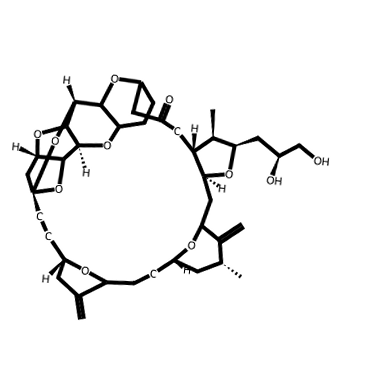 C=C1C[C@@H]2CC[C@@]34C[C@@H]5OC6[C@@H](OC7CCC(CC(=O)C[C@@H]8[C@@H](C)[C@@H](C[C@H](O)CO)O[C@H]8CC8O[C@@H](CCC1O2)C[C@@H](C)C8=C)OC7[C@@H]6O3)C5O4